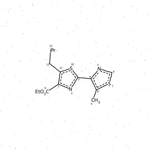 CCOC(=O)c1nc(-c2ncsc2C)sc1CC(C)C